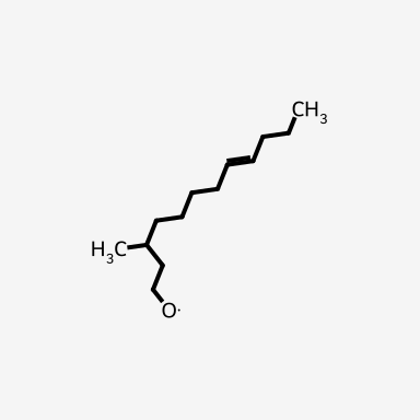 CCCC=CCCCCC(C)CC[O]